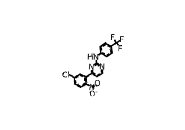 O=[N+]([O-])c1ccc(Cl)cc1-c1ccnc(Nc2ccc(C(F)(F)F)cc2)n1